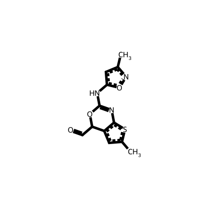 Cc1cc(NC2=Nc3sc(C)cc3C(C=O)O2)on1